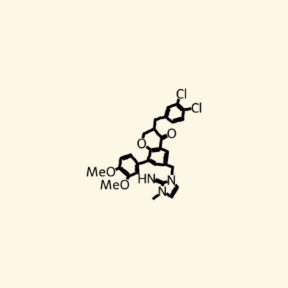 COc1ccc(-c2cc(Cn3ccn(C)c3=N)cc3c2OCC(Cc2ccc(Cl)c(Cl)c2)C3=O)cc1OC